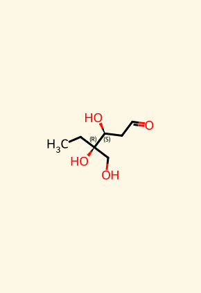 CC[C@@](O)(CO)[C@@H](O)CC=O